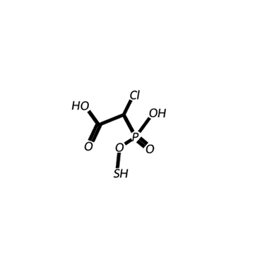 O=C(O)C(Cl)P(=O)(O)OS